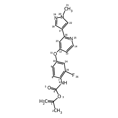 C=C(C)OC(=O)Nc1ccc(Oc2ccnc(-c3cnn(C)c3)c2)cc1F